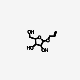 C=CCOC1OC(CO)C(O)C1O